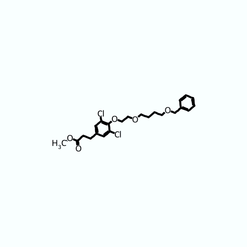 COC(=O)CCc1cc(Cl)c(OCCOCCCCOCc2ccccc2)c(Cl)c1